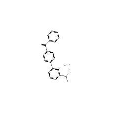 CC1NS(=O)Oc2c(-c3ccc(C(=O)c4ccccc4)cc3)cccc21